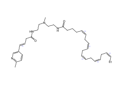 CC/C=C\C/C=C\C/C=C\C/C=C\C/C=C\CCCC(=O)NCCN(C)CCNC(=O)C/C=C/c1ccc(C)nc1